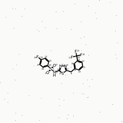 O=S(=O)(Nc1nnc(Cc2cccc(C(F)(F)F)c2)s1)c1ccc(F)cc1